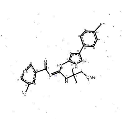 COCC(C)(C)N/C(=N/C(=O)c1cccc(C#N)c1)Nc1cc(-c2ccc(F)cc2)n[nH]1